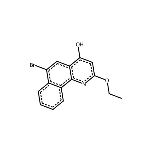 CCOc1cc(O)c2cc(Br)c3ccccc3c2n1